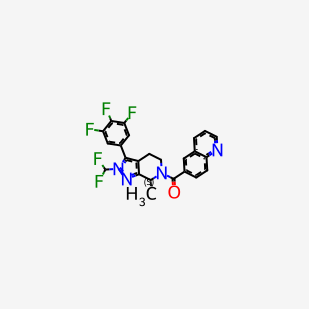 C[C@H]1c2nn(C(F)F)c(-c3cc(F)c(F)c(F)c3)c2CCN1C(=O)c1ccc2ncccc2c1